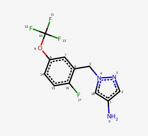 Nc1cnn(Cc2cc(OC(F)(F)F)ccc2F)c1